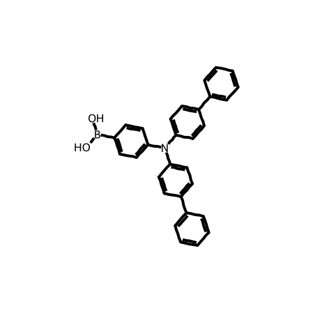 OB(O)c1ccc(N(c2ccc(-c3ccccc3)cc2)c2ccc(-c3ccccc3)cc2)cc1